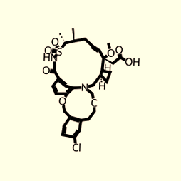 CO[C@@]1(CC(=O)O)/C=C/C[C@H](C)[C@@H](C)S(=O)(=O)NC(=O)c2ccc3c(c2)N(CCCCc2cc(Cl)ccc2CO3)C[C@@H]2CC[C@H]21